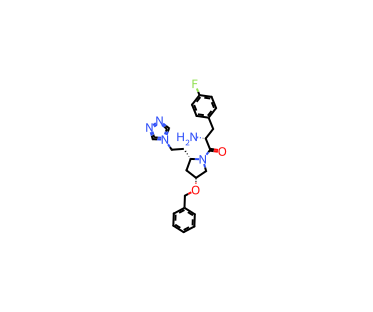 N[C@H](Cc1ccc(F)cc1)C(=O)N1C[C@H](OCc2ccccc2)C[C@@H]1CCn1cnnc1